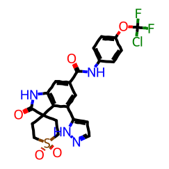 O=C(Nc1ccc(OC(F)(F)Cl)cc1)c1cc2c(c(-c3ccn[nH]3)c1)C1(CCS(=O)(=O)CC1)C(=O)N2